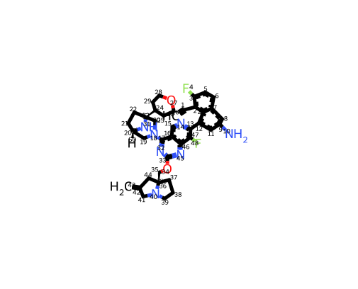 C#Cc1c(F)ccc2cc(N)cc(-c3ncc4c(N5C[C@@H]6CC[C@](C7CCOCC7)(C5)N6)nc(OC[C@@]56CCCN5CC(=C)C6)nc4c3F)c12